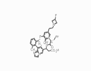 Cc1cccc(C)c1-c1cc(C(CC(=O)O)NC(=O)[C@@H](CC(C)C)n2cc(CCN3CC(F)C3)cc(F)c2=O)cn2ccnc12